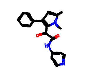 Cc1cc(-c2ccccc2)c(C(=O)C(=O)Nc2ccncc2)n1C